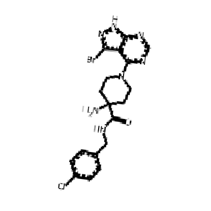 NC1(C(=O)NCc2ccc(Cl)cc2)CCN(c2ncnc3[nH]nc(Br)c23)CC1